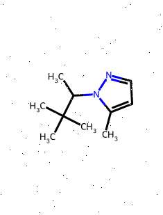 Cc1ccnn1C(C)C(C)(C)C